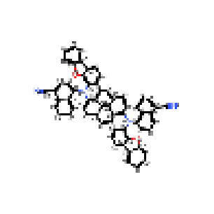 N#Cc1cccc2c(N(c3ccc4ccc5c(N(c6ccc(C#N)c7ccccc67)c6cccc7c6oc6ccccc67)ccc6ccc3c4c65)c3cccc4c3oc3ccccc34)cccc12